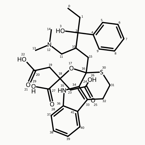 CCC(O)(c1ccccc1)C(CN(C)C)CC1(OC(CC(=O)O)(CC(=O)O)C(=O)O)SCCc2c1[nH]c1ccccc21